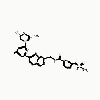 C[C@@H]1CN(c2cc(F)cc(-c3ccc4cnc(CNC(=O)c5cccc(CS(C)(=O)=O)c5)cc4n3)n2)C[C@H](C)O1